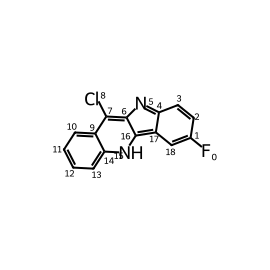 Fc1ccc2nc3c(Cl)c4ccccc4[nH]c-3c2c1